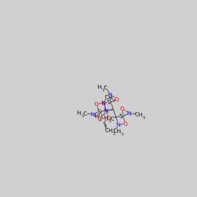 C=COC1(C2(C3(C)N(C)O[Si]34ON4C)N(C)O[Si]23ON3C)N(C)O[Si]12ON2C